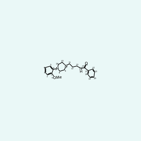 COc1ccccc1N1CCN(CCCNC(=O)c2ccccc2)CC1